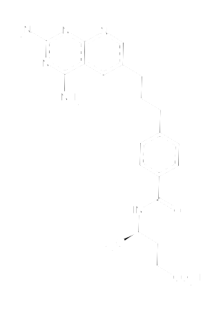 Nc1nc(N)c2cc(CCCc3ccc(C(=O)N[C@@H](CCC(=O)O)C(=O)O)cc3)cnc2n1